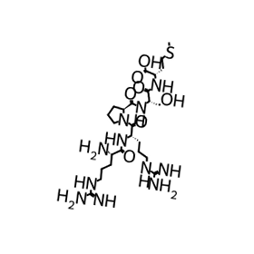 CSCC[C@H](NC(=O)[C@H](CO)NC(=O)[C@@H]1CCCN1C(=O)[C@H](CCCNC(=N)N)NC(=O)[C@@H](N)CCCNC(=N)N)C(=O)O